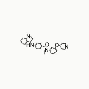 O=C(c1ccc(Nc2ccnc3ccccc23)cc1)N(I)c1cccc(Oc2ccncc2)c1